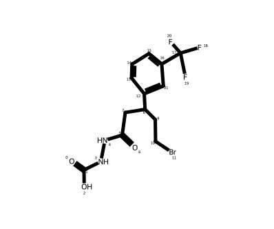 O=C(O)NNC(=O)CC(CCBr)c1cccc(C(F)(F)F)c1